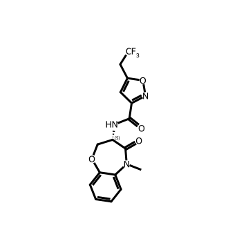 CN1C(=O)[C@@H](NC(=O)c2cc(CC(F)(F)F)on2)COc2ccccc21